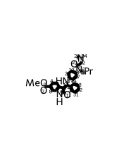 COC(=O)c1ccc2c(c1)NC(=O)C2=C(Nc1ccc(N(C(=O)CN(C)C)C(C)C)cc1)c1ccccc1